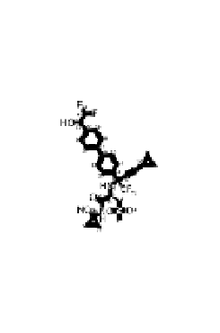 CS(=O)(=O)C[C@H](N[C@@](C#CC1CC1)(c1ccc(-c2ccc([C@@H](O)C(F)F)cc2)cc1)C(F)(F)F)C(=O)NC1(C#N)CC1